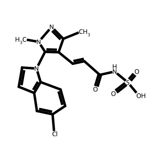 Cc1nn(C)c(-n2ccc3cc(Cl)ccc32)c1/C=C/C(=O)NS(=O)(=O)O